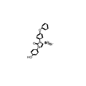 O=c1n(-c2ccc(O)cc2)ccn1-c1ccc(Oc2ccccc2)cc1.[B+3].[Br-].[Br-].[Br-]